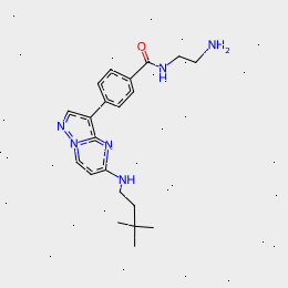 CC(C)(C)CCNc1ccn2ncc(-c3ccc(C(=O)NCCN)cc3)c2n1